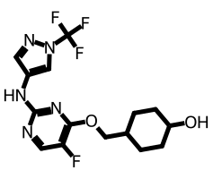 OC1CCC(COc2nc(Nc3cnn(C(F)(F)F)c3)ncc2F)CC1